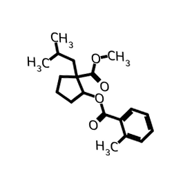 COC(=O)C1(CC(C)C)CCCC1OC(=O)c1ccccc1C